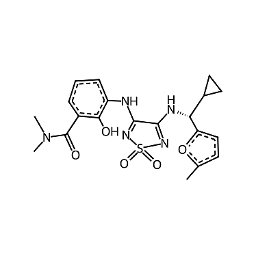 Cc1ccc([C@H](NC2=NS(=O)(=O)N=C2Nc2cccc(C(=O)N(C)C)c2O)C2CC2)o1